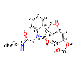 CCCCCNC(=O)CN1C(=O)C2(COc3cc4c(cc32)OCO4)c2ccccc21